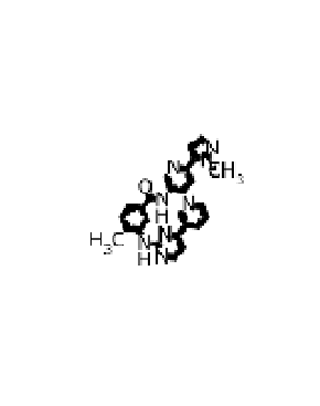 Cc1ccc(C(=O)Nc2ccc(-c3ccnn3C)nc2)cc1Nc1nccc(-c2cccnc2)n1